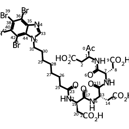 CC(=O)[C@H](CC(=O)O)NC(=O)[C@H](CC(=O)O)NC(=O)[C@H](CC(=O)O)NC(=O)[C@@H](CC(=O)O)NC(=O)CCCCCCCn1cnc2c(Br)c(Br)c(Br)c(Br)c21